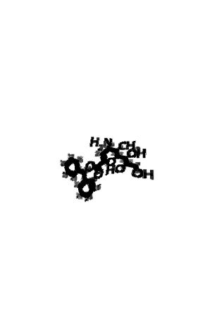 C[C@H]1[C@H]([C@H](O)[C@H](O)CO)OC(C(=O)OC(c2ccccc2)c2ccccc2)=C[C@@H]1N